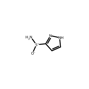 N[S+]([O-])c1cc[nH]n1